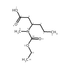 CCCC(CC(=O)O)N(C)C(=O)OCC